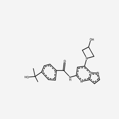 CC(C)(O)c1ccc(C(=O)Nc2cc(N3CC(O)C3)n3nccc3n2)cc1